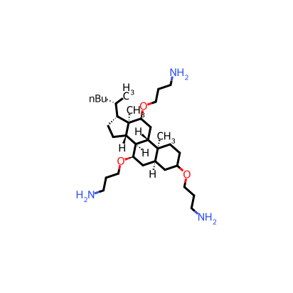 CCCC[C@H](C)[C@H]1CC[C@H]2[C@@H]3[C@H](OCCCN)C[C@@H]4CC(OCCCN)CC[C@]4(C)[C@H]3C[C@H](OCCCN)[C@]12C